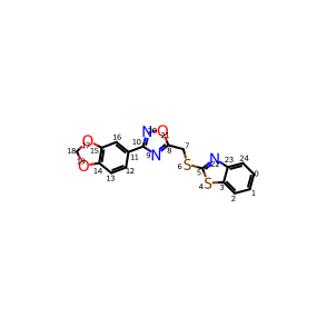 c1ccc2sc(SCc3nc(-c4ccc5c(c4)OCO5)no3)nc2c1